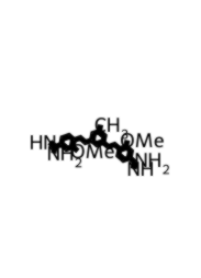 COc1cc(C(=N)N)ccc1CCc1cc(C)cc(CCc2ccc(C(=N)N)cc2OC)c1